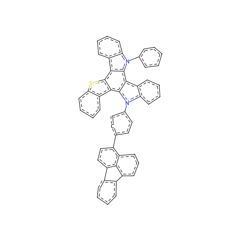 c1ccc(-n2c3ccccc3c3c4sc5ccccc5c4c4c(c5ccccc5n4-c4ccc(-c5ccc6c7c(cccc57)-c5ccccc5-6)cc4)c32)cc1